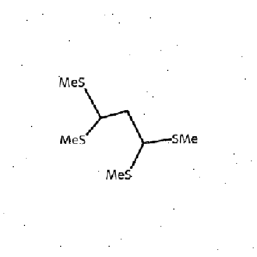 CSC(CC(SC)SC)SC